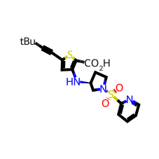 CC(C)(C)C#Cc1cc(N[C@H]2CCN(S(=O)(=O)c3ccccn3)C2)c(C(=O)O)s1